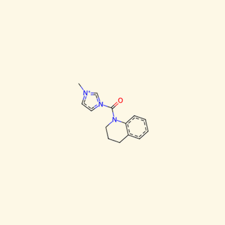 C[n+]1ccn(C(=O)N2CCCc3ccccc32)c1